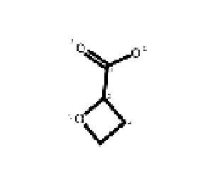 [O]C(=O)C1CCO1